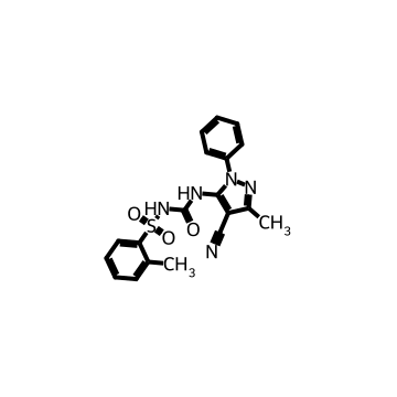 Cc1ccccc1S(=O)(=O)NC(=O)Nc1c(C#N)c(C)nn1-c1ccccc1